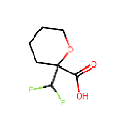 O=C(O)C1(C(F)F)CCCCO1